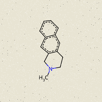 CN1CCc2cc3ccccc3cc2C1